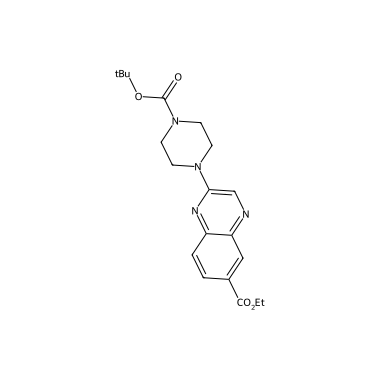 CCOC(=O)c1ccc2nc(N3CCN(C(=O)OC(C)(C)C)CC3)cnc2c1